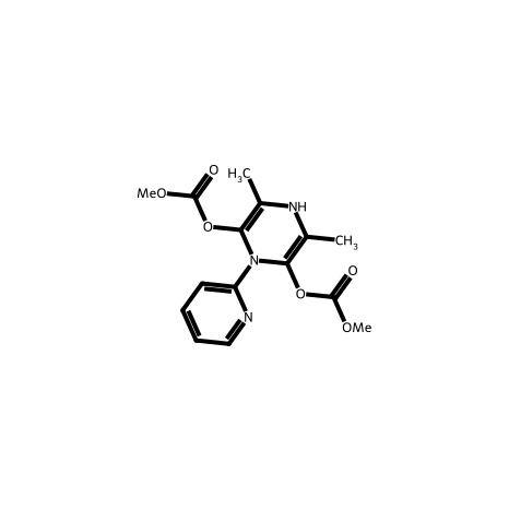 COC(=O)OC1=C(C)NC(C)=C(OC(=O)OC)N1c1ccccn1